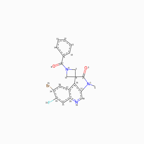 CN1C(=O)C2(CN(C(=O)c3ccccc3)C2)c2c1cnc1cc(F)c(Br)cc21